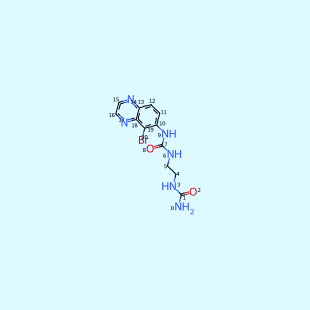 NC(=O)NCCNC(=O)Nc1ccc2nccnc2c1Br